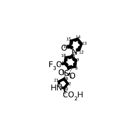 O=C(O)[C@@H]1C[C@@H](S(=O)(=O)c2ccc(-n3ccccc3=O)cc2C(F)(F)F)CN1